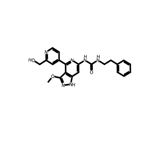 COc1n[nH]c2cc(NC(=O)NCCc3ccccc3)nc(-c3ccnc(CO)c3)c12